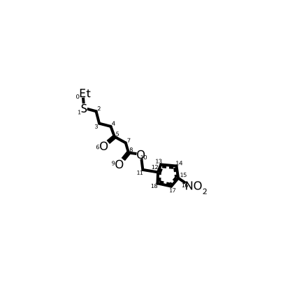 CCSCCCC(=O)CC(=O)OCc1ccc([N+](=O)[O-])cc1